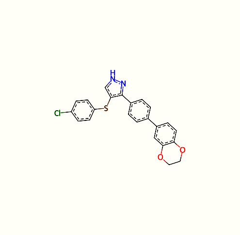 Clc1ccc(Sc2c[nH]nc2-c2ccc(-c3ccc4c(c3)OCCO4)cc2)cc1